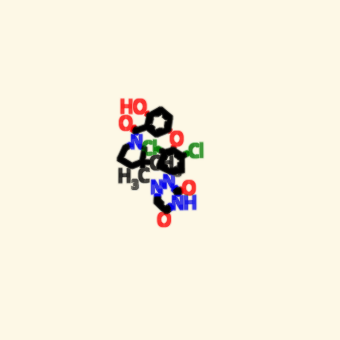 CC1(C)CCCN(C(=O)c2cc(Oc3c(Cl)cc(-n4ncc(=O)[nH]c4=O)cc3Cl)ccc2O)C1